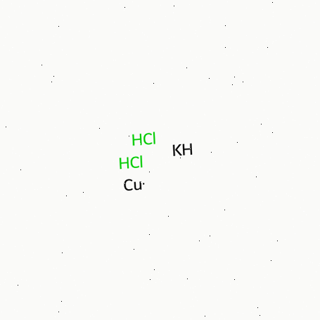 Cl.Cl.[Cu].[KH]